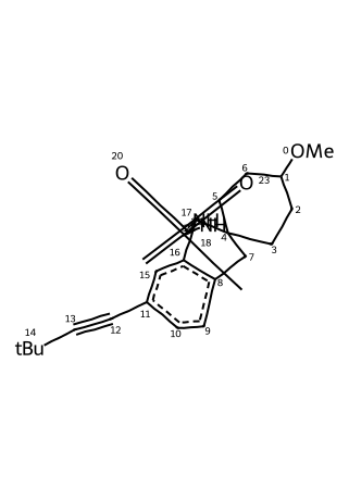 COC1CCC2(CC1)Cc1ccc(C#CC(C)(C)C)cc1C21NC(=O)NC1=O